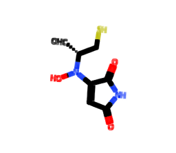 O=C[C@H](CS)N(O)C1=CC(=O)NC1=O